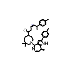 C=C1C=CN=C(N2CCC(C(=O)C/C=C\C(C)c3ccc(C)cc3)CCC(C)(C)C2)c2cc(-c3ccc(C)cc3)[nH]c21